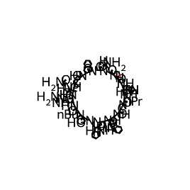 CCCC[C@H]1C(=O)N[C@@H](CCCNC(=N)N)C(=O)N[C@H](C(=O)NCC(N)=O)CSCC(=O)NC(Cc2ccccc2)C(=O)N(C)[C@@H](C)C(=O)N[C@@H](CC(N)=O)C(=O)N2CCC[C@H]2C(=O)N[C@@H](Cc2cnc[nH]2)C(=O)N[C@@H](CC(C)C)C(=O)N(C)CC(=O)N[C@@H](Cc2c[nH]c3ccccc23)C(=O)N[C@@H](C)C(=O)N[C@@H](Cc2c[nH]c3ccccc23)N[C@@H](CO)C(=O)N1C